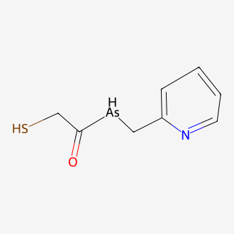 O=C(CS)[AsH]Cc1ccccn1